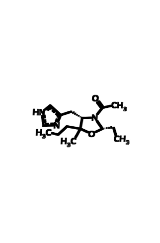 CCCC1(C)O[C@@H](CC)N(C(C)=O)[C@H]1Cc1c[nH]cn1